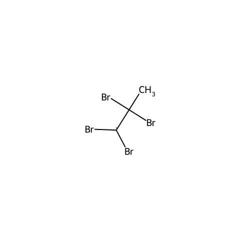 CC(Br)(Br)[C](Br)Br